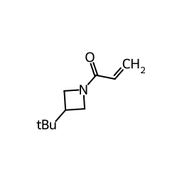 C=CC(=O)N1CC(C(C)(C)C)C1